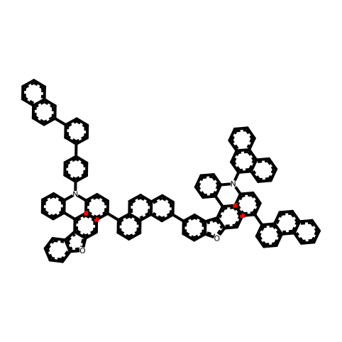 c1cc(-c2ccc(N(c3ccc(-c4cccc5c4ccc4ccc(-c6ccc7oc8cccc(-c9ccccc9N(c9ccc(-c%10cccc%11c%10ccc%10ccccc%10%11)cc9)c9cc%10ccccc%10c%10ccccc9%10)c8c7c6)cc45)cc3)c3ccccc3-c3cccc4oc5ccccc5c34)cc2)cc(-c2ccc3ccccc3c2)c1